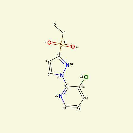 CCS(=O)(=O)c1c[c]n(-c2ncccc2Cl)n1